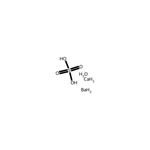 O.O=S(=O)(O)O.[BaH2].[CaH2]